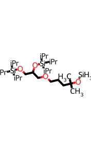 CC(C)[Si](OCC(COCCCC(C)(C)O[SiH3])O[Si](C(C)C)(C(C)C)C(C)C)(C(C)C)C(C)C